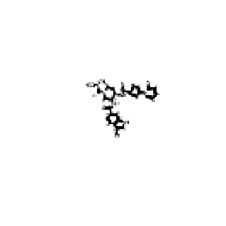 CN(C)C(=O)N1CC[C@H](NC(=O)c2ccc(-n3ccccc3=O)cc2)[C@H](NC(=O)c2ccc3c(Cl)c[nH]c3c2)C1